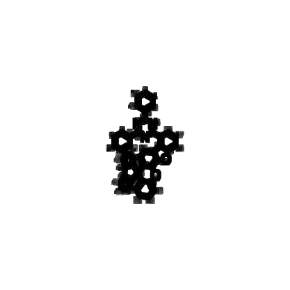 c1ccc(-c2nc(-c3ccccc3)nc(-c3cccc4oc5c6c(ccc5c34)C3(c4ccccc4O6)c4ccccc4-c4ccccc43)n2)cc1